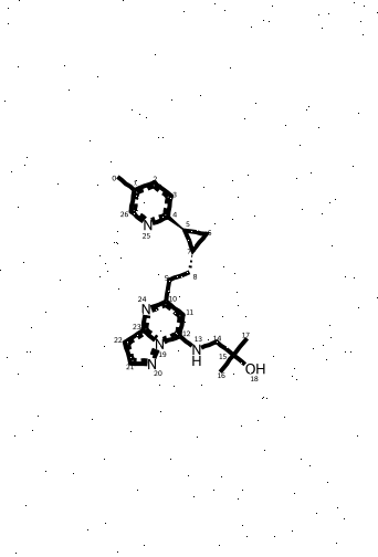 Cc1ccc([C@H]2C[C@@H]2CCc2cc(NCC(C)(C)O)n3nccc3n2)nc1